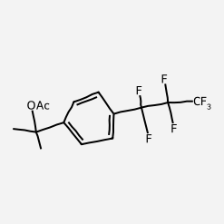 CC(=O)OC(C)(C)c1ccc(C(F)(F)C(F)(F)C(F)(F)F)cc1